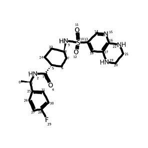 C[C@@H](NC(=O)[C@H]1CC[C@H](NS(=O)(=O)c2cnc3c(c2)NCCN3)CC1)c1ccc(F)cc1